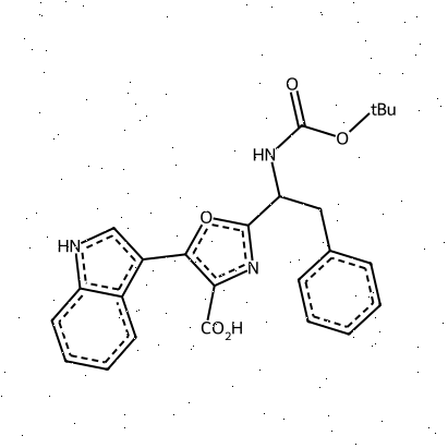 CC(C)(C)OC(=O)NC(Cc1ccccc1)c1nc(C(=O)O)c(-c2c[nH]c3ccccc23)o1